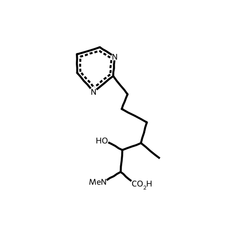 CNC(C(=O)O)C(O)C(C)CCCc1ncccn1